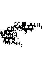 CN(Cc1cnc2nc(N)nc(N)c2n1)c1ccc(C(=O)N[C@@H](CCCNC(=O)c2ccc(N)cc2)C(=O)O)cc1